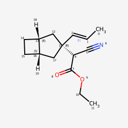 C/C=C/[C@]1(C(C#N)C(=O)OCC)C[C@H]2CC[C@H]2C1